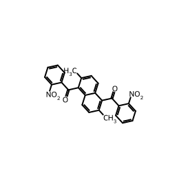 Cc1ccc2c(C(=O)c3ccccc3[N+](=O)[O-])c(C)ccc2c1C(=O)c1ccccc1[N+](=O)[O-]